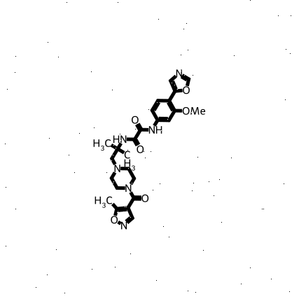 COc1cc(NC(=O)C(=O)NC(C)(C)CN2CCN(C(=O)c3cnoc3C)CC2)ccc1-c1cnco1